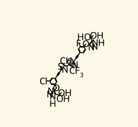 Cc1sc(C#Cc2cc(Cl)cc(Oc3nn[nH]c3C(O)O)c2)nc1-c1oc(C#Cc2ccc(Oc3nn[nH]c3C(O)O)c(F)c2)nc1C(F)(F)F